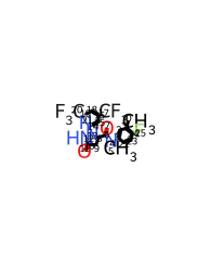 Cc1cc(N(C)C(=O)C2CC(=O)NN2c2cc(C(F)(F)F)cc(C(F)(F)F)n2)ccc1F